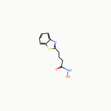 O=C(CCCc1nc2ccccc2s1)NO